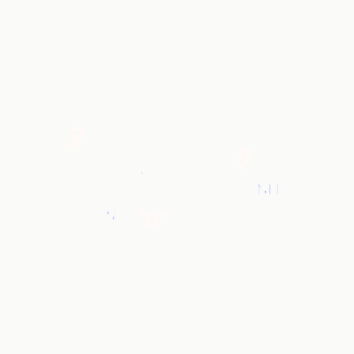 NC(=O)c1ccc(Oc2ccc(C=O)cn2)c(Cl)c1